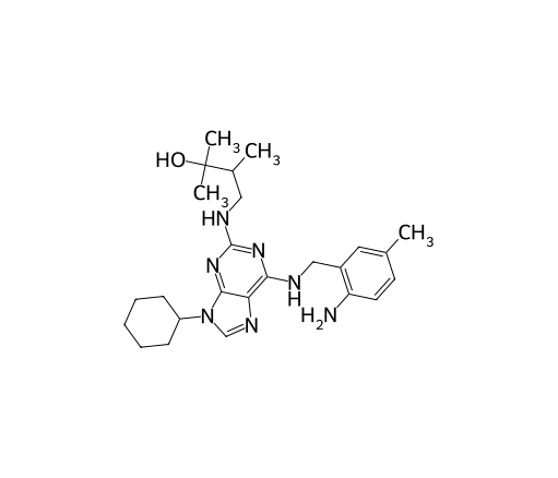 Cc1ccc(N)c(CNc2nc(NCC(C)C(C)(C)O)nc3c2ncn3C2CCCCC2)c1